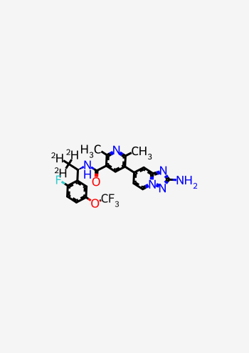 [2H]C([2H])([2H])[C@@H](NC(=O)c1cc(-c2ccn3nc(N)nc3c2)c(C)nc1C)c1cc(OC(F)(F)F)ccc1F